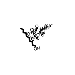 CCCCCCCCCCO.O=[PH]([O-])O[PH](=O)[O-].O=[PH]([O-])O[PH](=O)[O-].[Na+].[Na+].[Na+].[Na+]